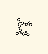 CN(c1ccc2c(c1)C(C)(C)c1ccccc1-2)c1ccc(-c2ccc(CN(c3ccccc3)c3ccc(-c4ccc5c(c4)C(C)(C)c4ccccc4-5)cc3)cc2)cc1-c1ccccc1